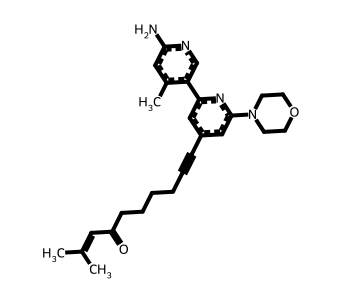 CC(C)=CC(=O)CCCCC#Cc1cc(-c2cnc(N)cc2C)nc(N2CCOCC2)c1